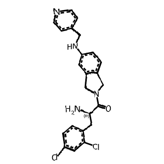 N[C@H](Cc1ccc(Cl)cc1Cl)C(=O)N1Cc2ccc(NCc3ccncc3)cc2C1